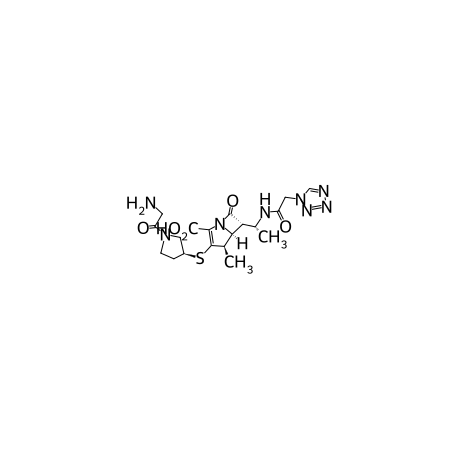 C[C@@H](NC(=O)Cn1cnnn1)[C@H]1C(=O)N2C(C(=O)O)=C(S[C@H]3CCN(C(=O)CN)C3)[C@H](C)[C@H]12